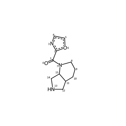 O=C(c1ncco1)N1CCCC2CNCC21